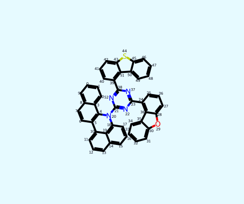 c1ccc2c3c(ccc2c1)-c1cccc2cccc(c12)N3c1nc(-c2cccc3oc4ccccc4c23)nc(-c2cccc3sc4ccccc4c23)n1